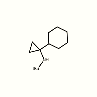 CC(C)(C)NC1(C2CCCCC2)CC1